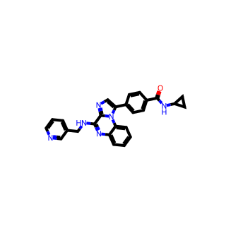 O=C(NC1CC1)c1ccc(-c2cnc3c(NCc4cccnc4)nc4ccccc4n23)cc1